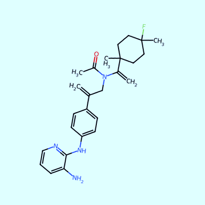 C=C(CN(C(=C)C1(C)CCC(C)(F)CC1)C(C)=O)c1ccc(Nc2ncccc2N)cc1